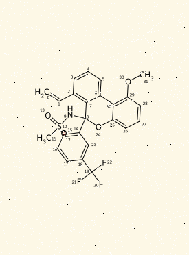 C=Cc1cccc2c1C(NS(C)(=O)=O)(c1cccc(C(F)(F)F)c1)Oc1cccc(OC)c1-2